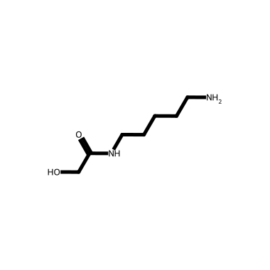 NCCCCCNC(=O)CO